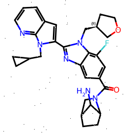 NC1C2CCC1N(C(=O)c1cc(F)c3c(c1)nc(-c1cc4cccnc4n1CC1CC1)n3C[C@H]1CCOC1)C2